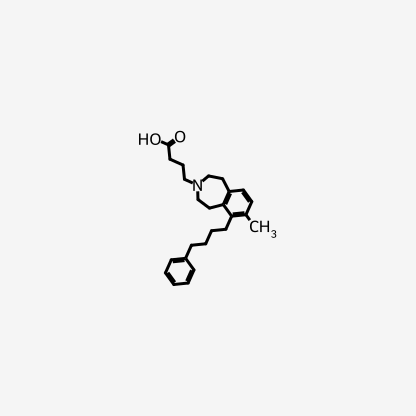 Cc1ccc2c(c1CCCCc1ccccc1)CCN(CCCC(=O)O)CC2